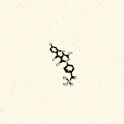 CC[N+](O)(CC)C(=O)c1ccc(-n2nc(O)c3[nH]c4cc(Cl)ccc4c(=O)c3c2=O)cc1